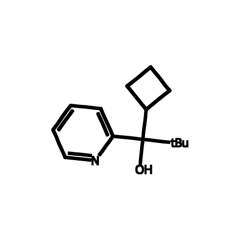 CC(C)(C)C(O)(c1ccccn1)C1CCC1